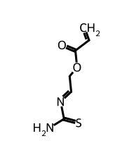 C=CC(=O)OCC=NC(N)=S